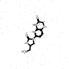 NCC1CN(c2ccc3c(n2)NC(=O)CO3)C(=O)O1